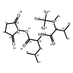 [2H]C([2H])([2H])N(C)C(C(=O)NC(CC(C)C)C(=O)ON1C(=O)CCC1=O)C(C)C